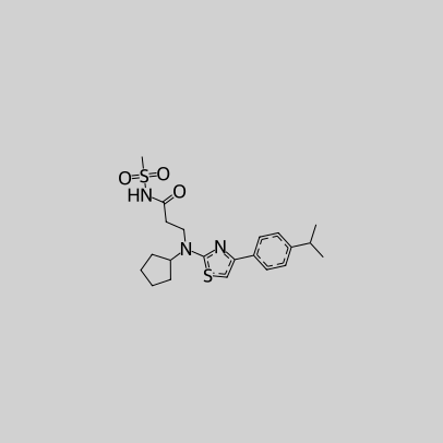 CC(C)c1ccc(-c2csc(N(CCC(=O)NS(C)(=O)=O)C3CCCC3)n2)cc1